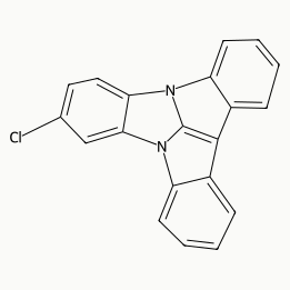 Clc1ccc2c(c1)n1c3ccccc3c3c4ccccc4n2c31